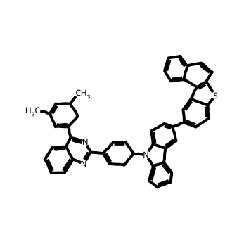 CC1=CC(C)CC(c2nc(C3=CCC(n4c5ccccc5c5cc(-c6ccc7sc8ccc9ccccc9c8c7c6)ccc54)C=C3)nc3ccccc23)=C1